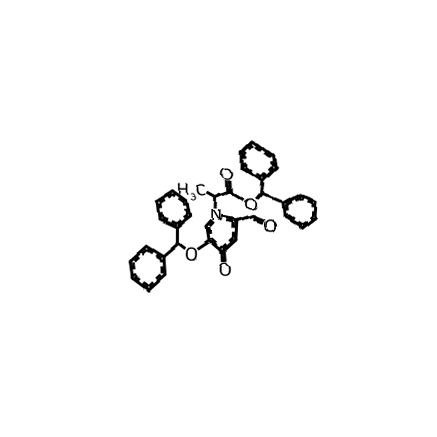 CC(C(=O)OC(c1ccccc1)c1ccccc1)n1cc(OC(c2ccccc2)c2ccccc2)c(=O)cc1C=O